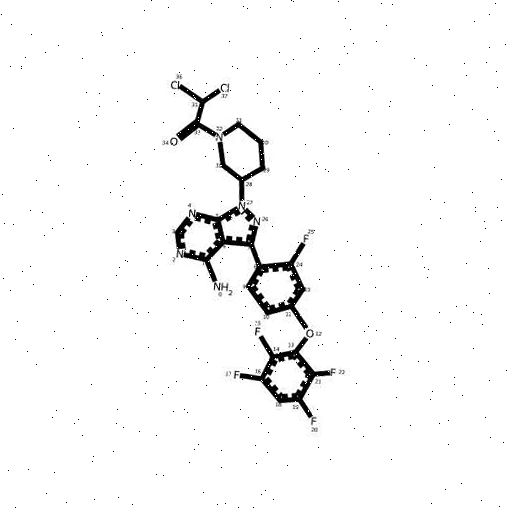 Nc1ncnc2c1c(-c1ccc(Oc3c(F)c(F)cc(F)c3F)cc1F)nn2C1CCCN(C(=O)C(Cl)Cl)C1